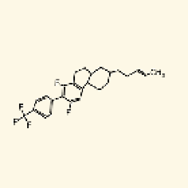 C/C=C/CCC1CCC2c3cc(F)c(-c4ccc(C(F)(F)F)cc4)c(F)c3CCC2C1